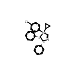 Clc1ccc([N+]2(C3CC3)C=N[C@H](c3ccccc3)[C@@H]2c2ccccc2)cc1